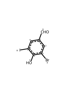 O=Cc1cc(Br)c(O)c(I)c1